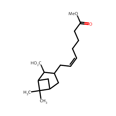 COC(=O)CCC/C=C\CC1CC2CC(C1C(=O)O)C2(C)C